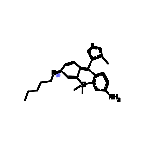 CCCCC/N=C1/C=CC2=C(c3cscc3C)c3ccc(N)cc3[Si](C)(C)C2=C1